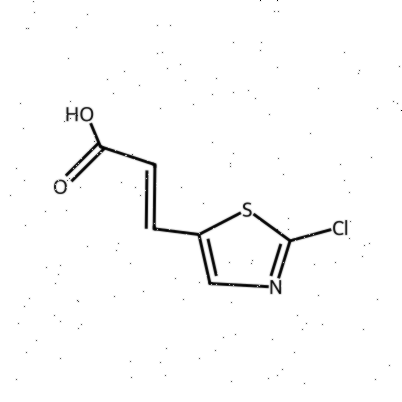 O=C(O)C=Cc1cnc(Cl)s1